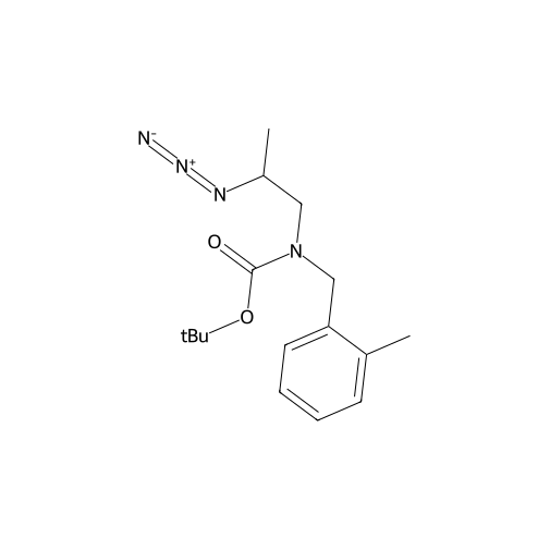 Cc1ccccc1CN(CC(C)N=[N+]=[N-])C(=O)OC(C)(C)C